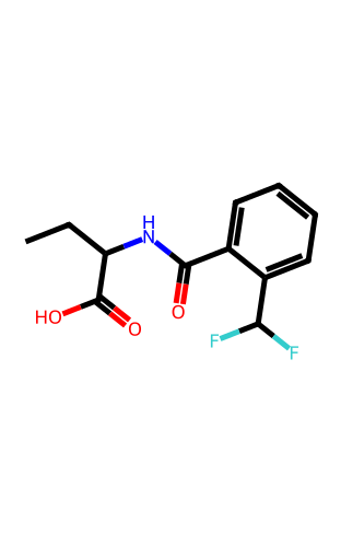 CCC(NC(=O)c1ccccc1C(F)F)C(=O)O